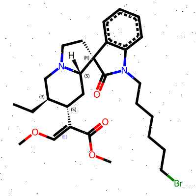 CC[C@H]1CN2CC[C@]3(C(=O)N(CCCCCCBr)c4ccccc43)[C@@H]2C[C@@H]1/C(=C\OC)C(=O)OC